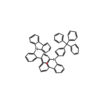 c1ccc(-c2ccccc2N(c2ccc(-c3ccccc3-n3c4ccccc4c4ccccc43)cc2)c2ccc(C(c3ccccc3)(c3ccccc3)c3ccccc3)cc2)cc1